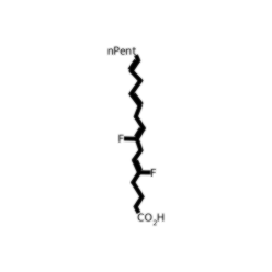 CCCCCC=CCC=CCC=C(F)CC=C(F)CCCC(=O)O